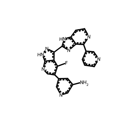 Nc1cncc(-c2cnc3[nH]nc(-c4nc5c(-c6cccnc6)nccc5[nH]4)c3c2F)c1